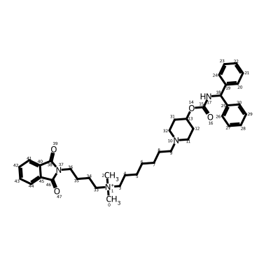 C[N+](C)(CCCCCCCN1CCC(OC(=O)NC(c2ccccc2)c2ccccc2)CC1)CCCCN1C(=O)c2ccccc2C1=O